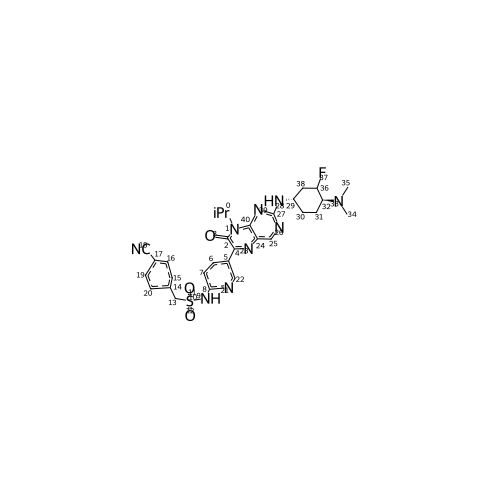 CC(C)n1c(=O)c(-c2ccc(NS(=O)(=O)Cc3ccc(C#N)cc3)nc2)nc2cnc(N[C@H]3CC[C@H](N(C)C)C(F)C3)nc21